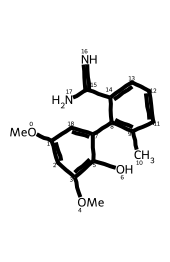 COc1cc(OC)c(O)c(-c2c(C)[c]ccc2C(=N)N)c1